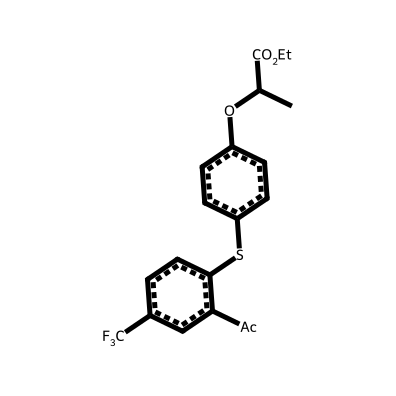 CCOC(=O)C(C)Oc1ccc(Sc2ccc(C(F)(F)F)cc2C(C)=O)cc1